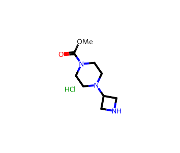 COC(=O)N1CCN(C2CNC2)CC1.Cl